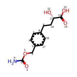 NC(=O)OCc1ccc(CC[C@H](O)C(=O)O)cc1